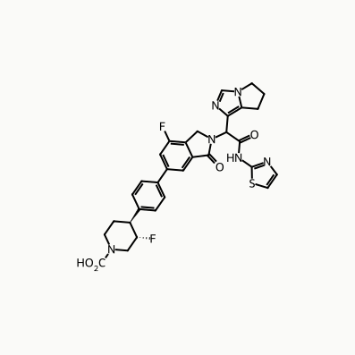 O=C(Nc1nccs1)C(c1ncn2c1CCC2)N1Cc2c(F)cc(-c3ccc([C@@H]4CCN(C(=O)O)C[C@H]4F)cc3)cc2C1=O